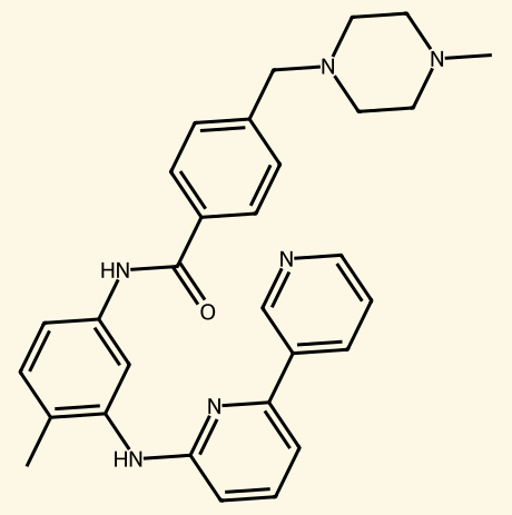 Cc1ccc(NC(=O)c2ccc(CN3CCN(C)CC3)cc2)cc1Nc1cccc(-c2cccnc2)n1